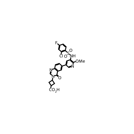 COc1ncc(-c2ccc3ncn(C4CC(C(=O)O)C4)c(=O)c3c2)cc1NS(=O)(=O)c1ccc(F)cc1Cl